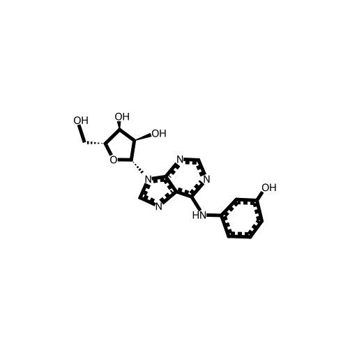 OC[C@H]1O[C@@H](n2cnc3c(Nc4cccc(O)c4)ncnc32)[C@H](O)[C@@H]1O